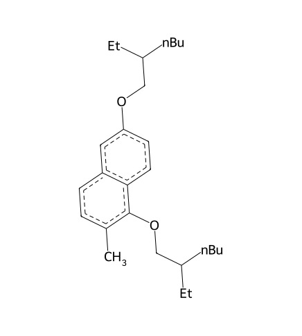 CCCCC(CC)COc1ccc2c(OCC(CC)CCCC)c(C)ccc2c1